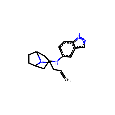 C=CCCN1C2CCC1CC(Nc1ccc3[nH]ncc3c1)C2